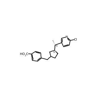 C[C@H](c1ccc(Cl)nc1)[C@H]1CCC(Cc2ccc(C(=O)O)cc2)C1